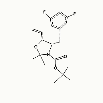 C=C[C@@H]1OC(C)(C)N(C(=O)OC(C)(C)C)[C@H]1Cc1cc(F)cc(F)c1